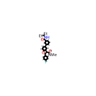 CCC(CC)NC(=O)c1cccc(-c2ccc3c(c2)C(C(=O)NC)C(c2ccc(F)cc2)O3)c1